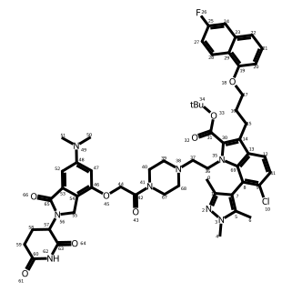 Cc1nn(C)c(C)c1-c1c(Cl)ccc2c(CCCOc3cccc4cc(F)ccc34)c(C(=O)OC(C)(C)C)n(CCN3CCN(C(=O)COc4cc(N(C)C)cc5c4CN(C4CCC(=O)NC4=O)C5=O)CC3)c12